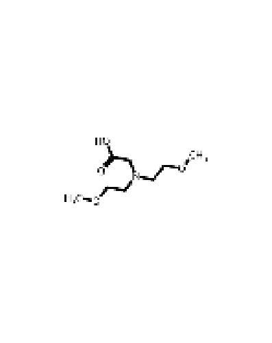 COCCN(CCOC)CC(=O)O